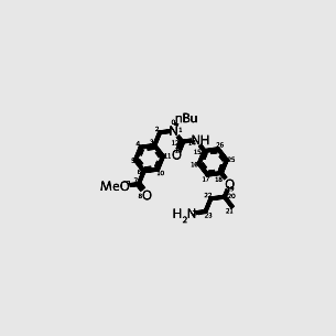 CCCCN(Cc1ccc(C(=O)OC)cc1)C(=O)Nc1ccc(OC(C)CCN)cc1